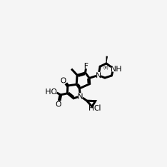 Cc1c(F)c(N2CCN[C@H](C)C2)cc2c1c(=O)c(C(=O)O)cn2C1CC1.Cl